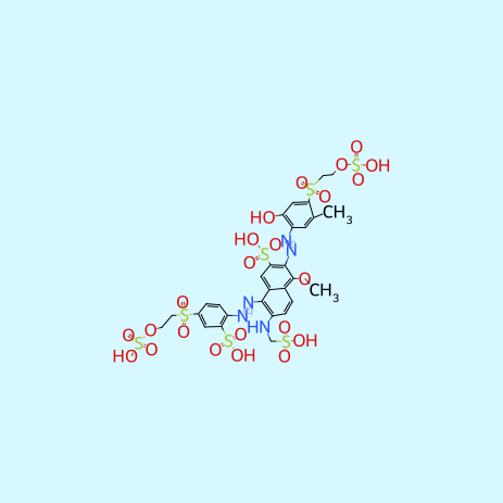 COc1c(/N=N/c2cc(C)c(S(=O)(=O)CCOS(=O)(=O)O)cc2O)c(S(=O)(=O)O)cc2c(/N=N/c3ccc(S(=O)(=O)CCOS(=O)(=O)O)cc3S(=O)(=O)O)c(NCS(=O)(=O)O)ccc12